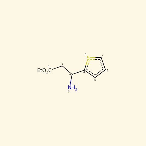 CCOC(=O)CC(N)c1cccs1